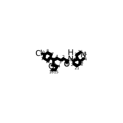 O=C(C=CC=C(c1ccc(Cl)cc1)c1ccco1)Nc1cccc2cnccc12